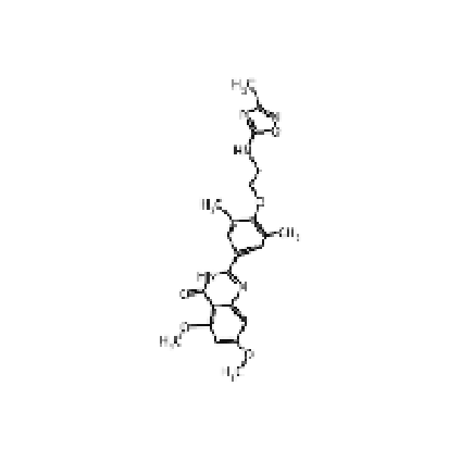 COc1cc(OC)c2c(=O)[nH]c(-c3cc(C)c(OCCNc4nc(C)no4)c(C)c3)nc2c1